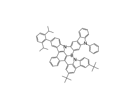 CC(C)c1cccc(C(C)C)c1-c1ccc2c(c1)c1c3ccccc3c3c4c1n2-c1cc2c5ccccc5n(-c5ccccc5)c2cc1B4n1c2ccc(C(C)(C)C)cc2c2cc(C(C)(C)C)cc-3c21